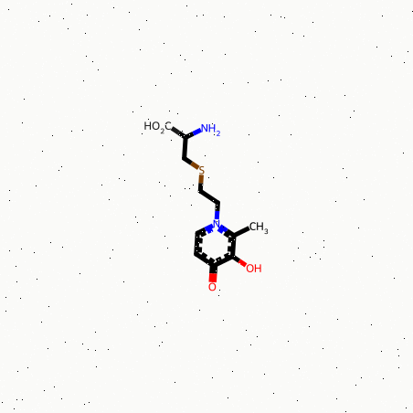 Cc1c(O)c(=O)ccn1CCSCC(N)C(=O)O